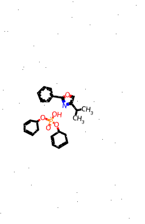 CC(C)c1coc(-c2ccccc2)n1.O=P(O)(OC1C=CC=CC1)OC1C=CC=CC1